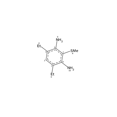 CCc1cc(CC)c(N)c(SC)c1N